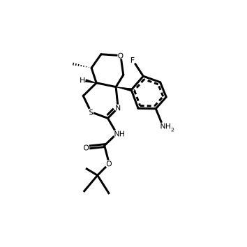 C[C@@H]1COC[C@]2(c3cc(N)ccc3F)N=C(NC(=O)OC(C)(C)C)SC[C@H]12